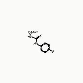 CONC(=S)Nc1ccc(F)cc1